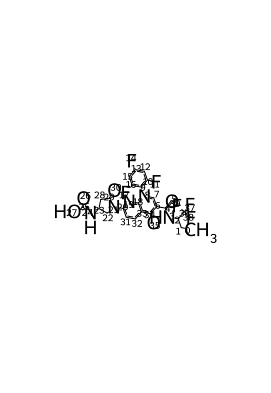 CCC(NC(=O)c1cn(-c2c(F)cc(F)cc2F)c2nc(N3CC(NC(=O)O)CC3=O)ccc2c1=O)C(F)(F)F